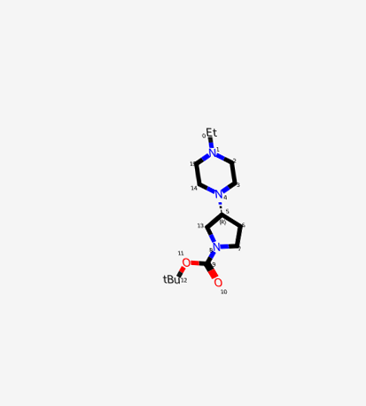 CCN1CCN([C@@H]2CCN(C(=O)OC(C)(C)C)C2)CC1